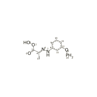 O=C(OO)/C(I)=N/Nc1cccc(OP)c1